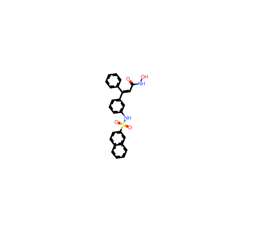 O=C(C=C(c1ccccc1)c1cccc(NS(=O)(=O)c2ccc3ccccc3c2)c1)NO